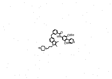 COc1cc(NC(=O)c2cccc(Cc3ccc4c(c3)c(C)c(C)n4CCCN3CCN(C)CC3)c2)cc(OC)c1-c1ccncc1